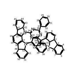 C1=CC2c3ccccc3SC2C(c2ccc(N3c4c(ccc5c4N(c4nc(-c6ccccc6)nc(-c6ccccc6)n4)C4C=CC=CC54)C4C=CC=CC43)cc2)=C1